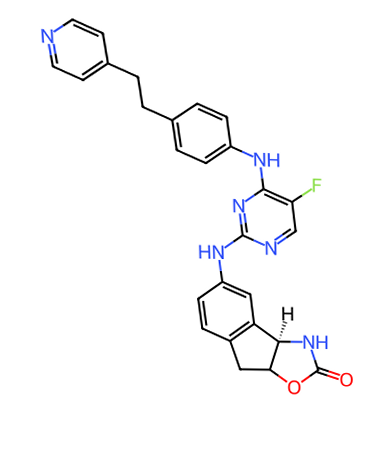 O=C1N[C@@H]2c3cc(Nc4ncc(F)c(Nc5ccc(CCc6ccncc6)cc5)n4)ccc3CC2O1